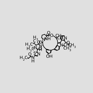 C=CC(=O)Nc1cnc(C(=O)N(C)C(C(=O)N[C@H]2Cc3cc(O)cc(c3)-c3ccc4c(c3)c(c(-c3cccnc3[C@H](C)OC)n4CC)CC(C)(C)COC(=O)[C@@H]3CCCN(N3)C2=O)C(C)C)s1